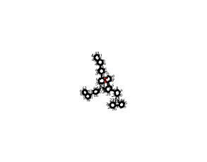 c1ccc(-c2cc(-c3cccc(-n4c5ccccc5c5ccccc54)c3)ccc2N(c2ccc(-c3ccc(-c4ccc5ccccc5c4)cc3)cc2)c2ccc(-c3cccc4ccccc34)cc2)cc1